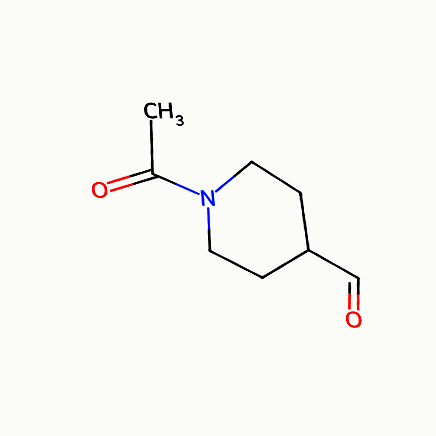 CC(=O)N1CCC(C=O)CC1